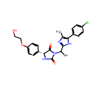 Cc1nc(C(C(C)C)N2C(=O)N[C@H](c3ccc(OCCO)cc3)C2=O)[nH]c1-c1ccc(Br)cc1